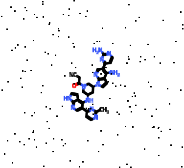 Cc1nccc(-c2cnc3[nH]ccc3c2N[C@@H]2C[C@H](n3ccc4c(N)c(-c5ccnc(N)n5)cnc43)CN(C(=O)CC#N)C2)n1